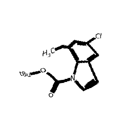 Cc1cc(Cl)cc2ccn(C(=O)OC(C)(C)C)c12